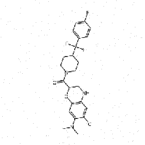 CN(C)c1cc2c(cc1Cl)NCC(C(=O)N1CCC(C(F)(F)c3ccc(F)cc3)CC1)O2